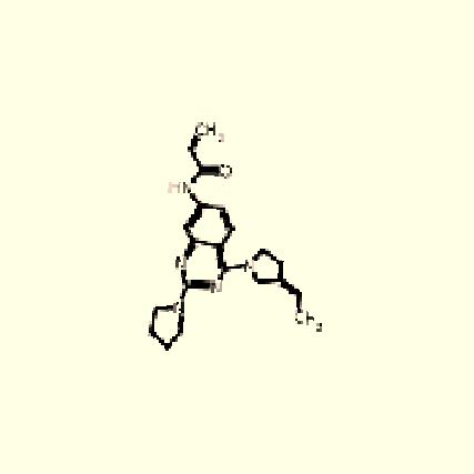 C=CC(=O)Nc1ccc2c(N3CC/C(=C/C)C3)nc(N3CCCC3)nc2c1